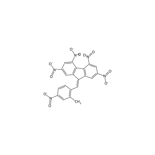 Cc1cc([N+](=O)[O-])ccc1C=C1c2cc([N+](=O)[O-])cc([N+](=O)[O-])c2-c2c1cc([N+](=O)[O-])cc2[N+](=O)[O-]